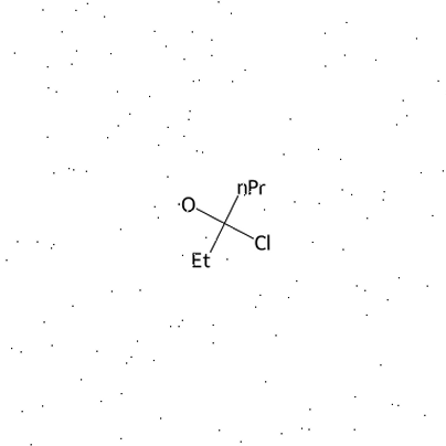 CCCC([O])(Cl)CC